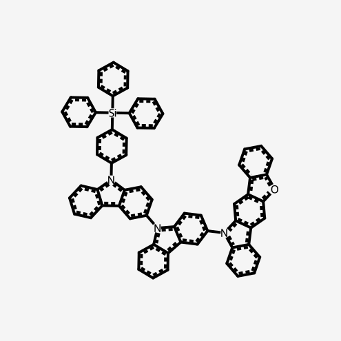 c1ccc([Si](c2ccccc2)(c2ccccc2)c2ccc(-n3c4ccccc4c4cc(-n5c6ccccc6c6cc(-n7c8ccccc8c8cc9oc%10ccccc%10c9cc87)ccc65)ccc43)cc2)cc1